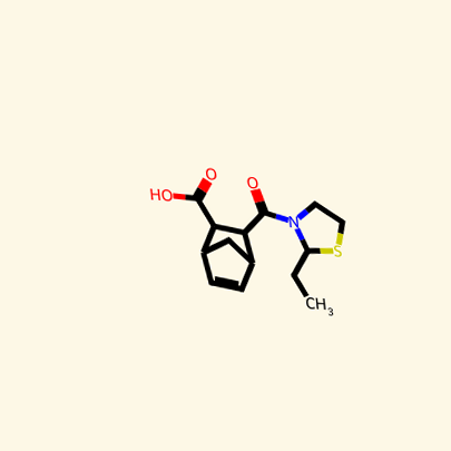 CCC1SCCN1C(=O)C1C2C=CC(C2)C1C(=O)O